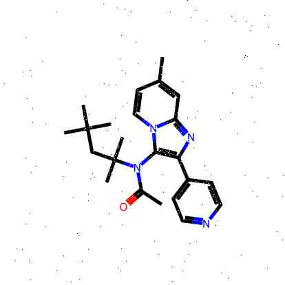 CC(=O)N(c1c(-c2ccncc2)nc2cc(C)ccn12)C(C)(C)CC(C)(C)C